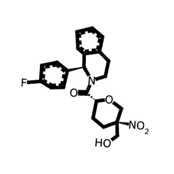 O=C([C@H]1CC[C@](CO)([N+](=O)[O-])CO1)N1CCc2ccccc2[C@@H]1c1ccc(F)cc1